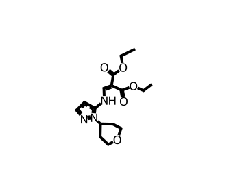 CCOC(=O)C(=CNc1ccnn1C1CCOCC1)C(=O)OCC